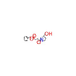 O=C(CCC(=O)N1CCCC(CO)C1)OCc1ccccc1